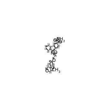 COC1(c2csc(OCCc3nc(-c4ccccc4)c(-c4ccc(S(N)(=O)=O)cc4)o3)c2)CCOCC1